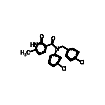 Cc1ccc(C(=O)N(Cc2ccc(Cl)cc2)c2cccc(Cl)c2)c(=O)[nH]1